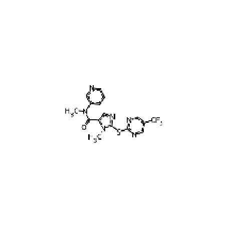 CN(C(=O)c1cnc(Sc2ncc(C(F)(F)F)cn2)n1C)c1cccnc1